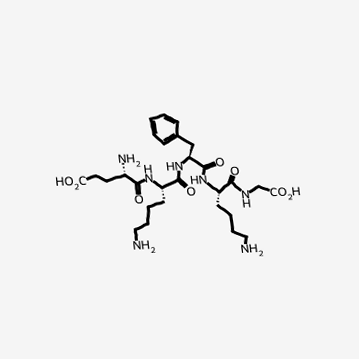 NCCCC[C@H](NC(=O)[C@H](Cc1ccccc1)NC(=O)[C@H](CCCCN)NC(=O)[C@@H](N)CCC(=O)O)C(=O)NCC(=O)O